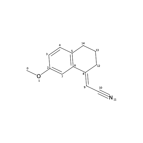 COc1ccc2c(c1)C(=CC#N)CCC2